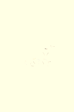 COc1cc(CN2C(=O)C(C3=NS(=O)(=O)c4cc(NS(C)(=O)=O)ccc4N3)=C(O)C3C4CCC(CC4)C32)ccc1F